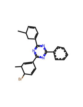 CC1C=CC=C(c2nc(C3=CC(C)C(Br)C=C3)nc(-c3ccccc3)n2)C1